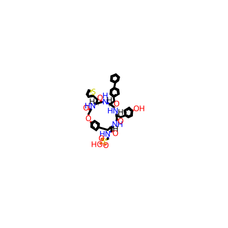 O=C1COc2ccc(cc2)C[C@@H](C(=O)NCS(=O)(=O)O)NC(=O)[C@H](Cc2ccc(O)cc2)NC(=O)[C@@H](Cc2ccc(-c3ccccc3)cc2)NC(=O)[C@H](Cc2cccs2)N1